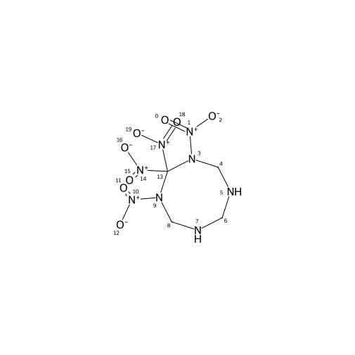 O=[N+]([O-])N1CNCNCN([N+](=O)[O-])C1([N+](=O)[O-])[N+](=O)[O-]